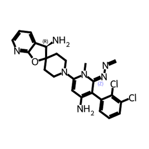 C=N/N=c1/c(-c2cccc(Cl)c2Cl)c(N)cc(N2CCC3(CC2)Oc2ncccc2[C@H]3N)n1C